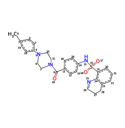 Cc1ccc(N2CCN(C(=O)c3ccc(NS(=O)(=O)c4cccc5c4N=CCC5)cc3)CC2)cc1